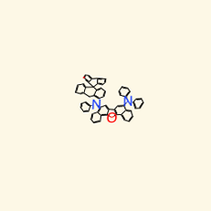 c1ccc(N(c2ccccc2)c2cc3c4cc(N(c5ccccc5)c5cccc6c5Cc5ccccc5C65c6ccccc6-c6ccccc65)c5ccccc5c4oc3c3ccccc23)cc1